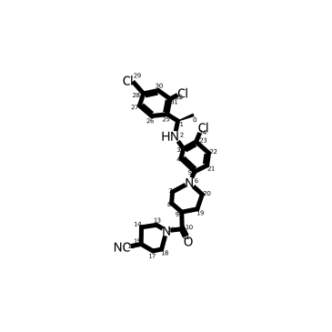 C[C@@H](Nc1cc(N2CCC(C(=O)N3CCC(C#N)CC3)CC2)ccc1Cl)c1ccc(Cl)cc1Cl